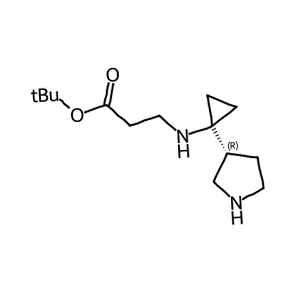 CC(C)(C)OC(=O)CCNC1([C@@H]2CCNC2)CC1